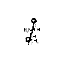 Cc1c(Cl)cccc1NCCC(N)C(O)COc1ccccc1